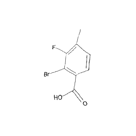 Cc1ccc(C(=O)O)c(Br)c1F